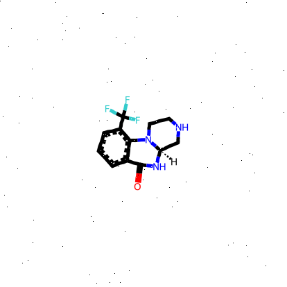 O=C1N[C@@H]2CNCCN2c2c1cccc2C(F)(F)F